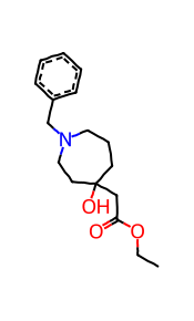 CCOC(=O)CC1(O)CCCN(Cc2ccccc2)CC1